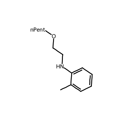 CCCCCOCCNc1ccccc1C